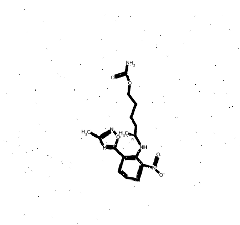 Cc1noc(-c2cccc([N+](=O)[O-])c2N[C@@H](C)CCCCOC(N)=O)n1